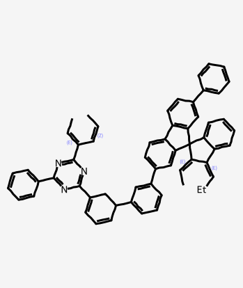 C/C=C\C(=C/C)c1nc(C2=CC=CC(c3cccc(-c4ccc5c(c4)C4(C(=C/C)/C(=C\CC)c6ccccc64)c4cc(-c6ccccc6)ccc4-5)c3)C2)nc(-c2ccccc2)n1